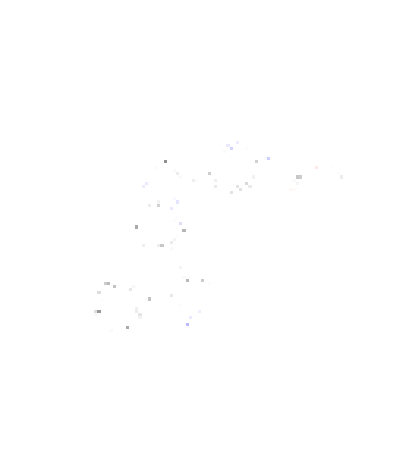 COC(=O)Nc1ccc(-c2cnc3ccc(-c4c(C)nn(C)c4-c4ccc(F)cc4)cn23)cn1